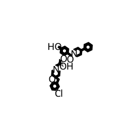 O=C(c1ccc(O)cc1OC[C@H](O)CN1CCC2(CC1)Cc1cc(Cl)ccc1O2)N1CCC(c2ccccc2)CC1